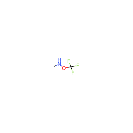 CNOC(F)(F)F